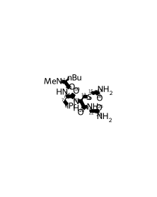 CCCC[C@H](NC)C(=O)N[C@@H](CC(C)C)C(=O)N[C@@H](CSCC(N)=O)C(=O)NCC(N)=O